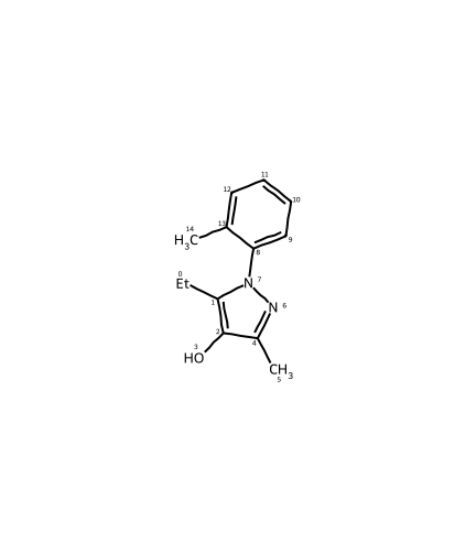 CCc1c(O)c(C)nn1-c1ccccc1C